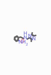 Cc1nc(C)c(CNC(=O)Cc2ccccc2N)nc1C